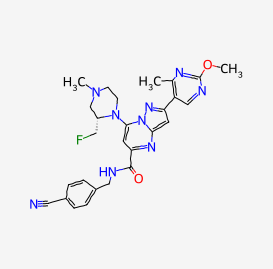 COc1ncc(-c2cc3nc(C(=O)NCc4ccc(C#N)cc4)cc(N4CCN(C)C[C@H]4CF)n3n2)c(C)n1